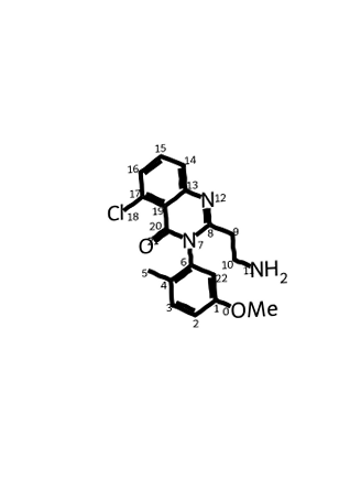 COc1ccc(C)c(-n2c(CCN)nc3cccc(Cl)c3c2=O)c1